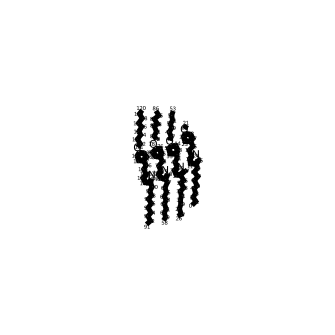 CCCCCCCCCCc1ccc(CCc2ccc(OC)cc2)nc1.CCCCCCCCCCc1ccc(CCc2ccc(OCCCCCCC)cc2)nc1.CCCCCCCCCCc1ccc(CCc2ccc(OCCCCCCCC)cc2)nc1.CCCCCCCCCCc1ccc(CCc2ccc(OCCCCCCCCC)cc2)nc1